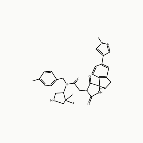 Cn1cc(-c2ccc3c(c2)CC[C@]32NC(=O)N(CC(=O)N(Cc3ccc(F)cc3)C3CNCC3(F)F)C2=O)cn1